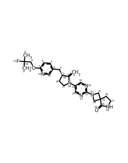 C=C1[C@H](Cc2ccc(OCC(C)(C)F)nc2)CCN1c1cnc(N2CC3(CCNC3=O)C2)nc1